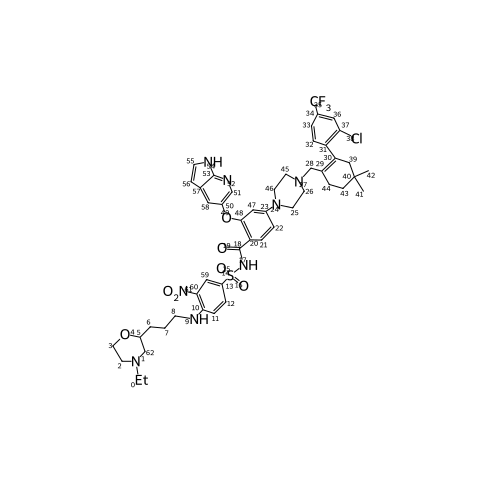 CCN1CCOC(CCCNc2ccc(S(=O)(=O)NC(=O)c3ccc(N4CCN(CC5=C(c6ccc(C(F)(F)F)cc6Cl)CC(C)(C)CC5)CC4)cc3Oc3cnc4[nH]ccc4c3)cc2[N+](=O)[O-])C1